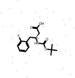 CC(C)(C)OC(=O)N[C@H](CC(=O)O)Cc1ccccc1F